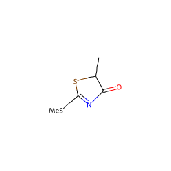 CSC1=NC(=O)C(C)S1